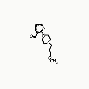 COCCCN1CCN(c2ncccc2C=O)CC1